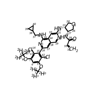 [2H]C([2H])([2H])Oc1cc(OC([2H])([2H])[2H])c(Cl)c(-c2cc3cnc(N[C@@H]4COC[C@@H]4NC(=O)C=C)cc3c(NCC3CC3)n2)c1Cl